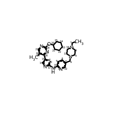 CCN1CCN(Cc2ccc(Nc3ncc(-c4nc(OC5CCCCC5)ncc4C)s3)nc2)CC1